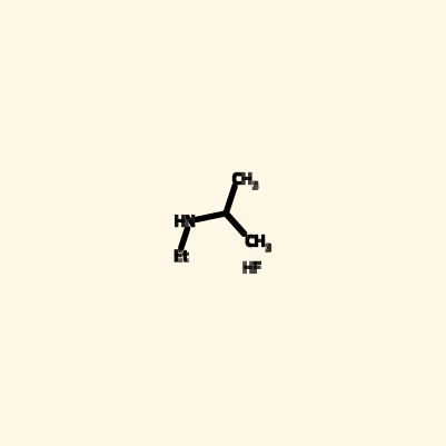 CCNC(C)C.F